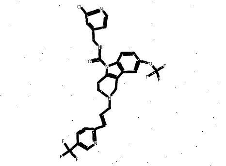 O=C(NCc1ccnc(Cl)c1)n1c2c(c3cc(OC(F)(F)F)ccc31)CN(C/C=C/c1ccc(C(F)(F)F)cn1)CC2